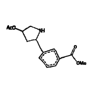 COC(=O)c1cccc(C2CC(OC(C)=O)CN2)c1